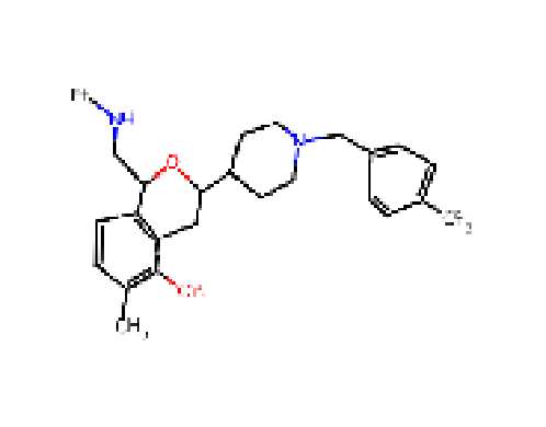 CCNCC1OC(C2CCN(Cc3ccc(C(F)(F)F)cc3)CC2)Cc2c1ccc(C)c2O